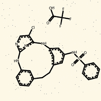 O=C(O)C(F)(F)F.O=S(=O)(Nc1cc2cc(c1)Nc1nc(ncc1Cl)Nc1cccc(c1)CC2)c1ccccc1